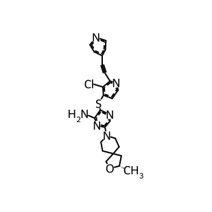 C[C@H]1CC2(CCN(c3cnc(Sc4ccnc(C#Cc5ccncc5)c4Cl)c(N)n3)CC2)CO1